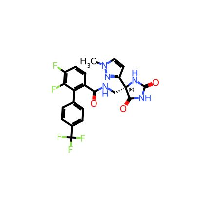 Cn1ccc([C@@]2(CNC(=O)c3ccc(F)c(F)c3-c3ccc(C(F)(F)F)cc3)NC(=O)NC2=O)n1